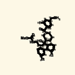 CCc1cccc(-c2c(Cl)cccc2[C@](O)(CCCNC(=O)OC)[C@@H]2CCCN(C(=O)c3ccc(CN)cc3F)C2)c1